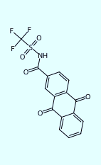 O=C(NS(=O)(=O)C(F)(F)F)c1ccc2c(c1)C(=O)c1ccccc1C2=O